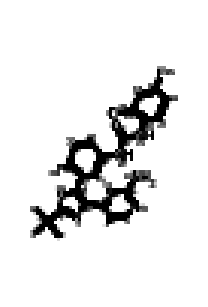 CC(C)(C)c1nc(-c2ccnc(N)n2)c(-c2cc(NC(=O)Nc3ccc(F)cc3Cl)ccc2F)s1